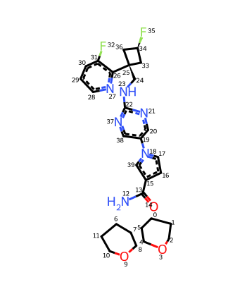 C1CCOCC1.C1CCOCC1.NC(=O)c1ccn(-c2cnc(NC[C@]3(c4ncccc4F)C[C@H](F)C3)nc2)c1